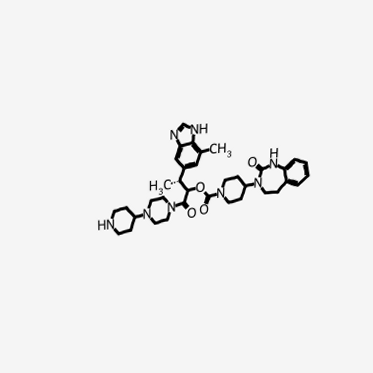 Cc1cc([C@@H](C)C(OC(=O)N2CCC(N3CCc4ccccc4NC3=O)CC2)C(=O)N2CCN(C3CCNCC3)CC2)cc2nc[nH]c12